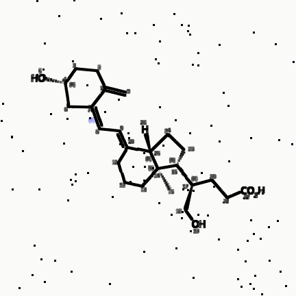 C=C1CC[C@@H](O)C/C1=C/C=C1CCC[C@]2(C)[C@@H]([C@H](CO)CCC(=O)O)CC[C@@H]12